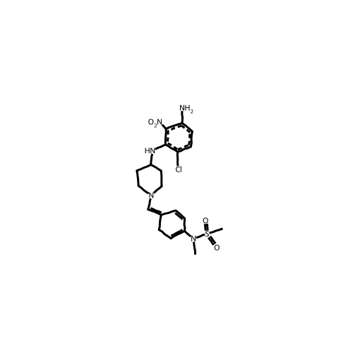 CN(C1=CCC(=CN2CCC(Nc3c(Cl)ccc(N)c3[N+](=O)[O-])CC2)C=C1)S(C)(=O)=O